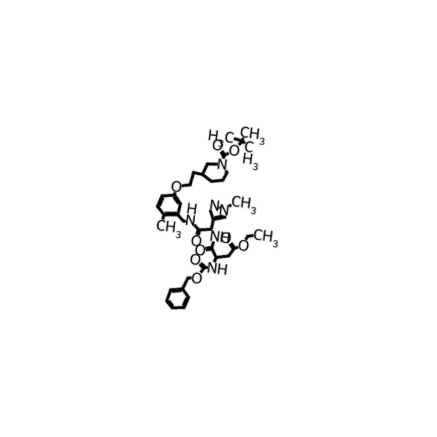 CCOC(=O)CC(NC(=O)OCc1ccccc1)C(=O)NC(C(=O)NCc1cc(OCCC2CCCN(C(=O)OC(C)(C)C)C2)ccc1C)c1cnn(C)c1